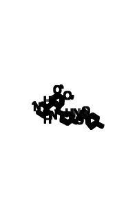 COc1cc2c(cc1OC)[C@H]1CN(C)CC[C@H]1N=C2c1ccc(C)c(NS(=O)(=O)c2ccc(C)cc2)c1